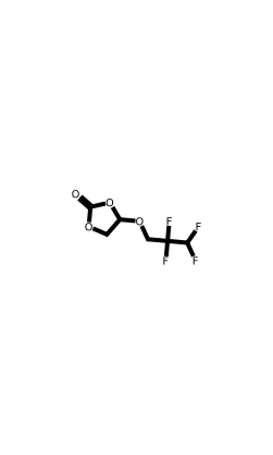 O=C1OCC(OCC(F)(F)C(F)F)O1